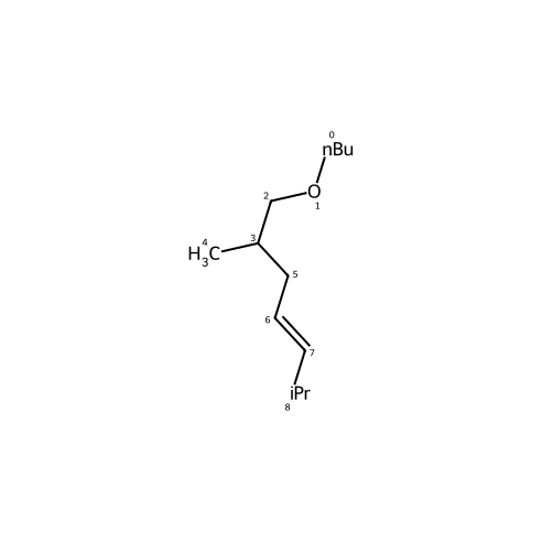 CCCCOCC(C)CC=CC(C)C